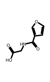 O=C(O)CNC(=O)c1ccoc1